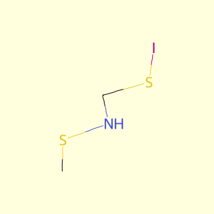 CSNCSI